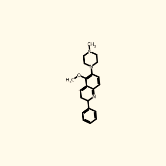 COc1c(N2CCN(C)CC2)ccc2c1=[C]CC(c1ccccc1)N=2